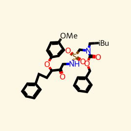 CCC(C)CN(CS(=O)(=O)NCC(=O)C(CCc1ccccc1)Oc1ccc(OC)cc1)C(=O)OCc1ccccc1